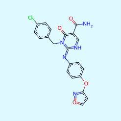 NC(=O)c1c[nH]/c(=N\c2ccc(Oc3ccon3)cc2)n(Cc2ccc(Cl)cc2)c1=O